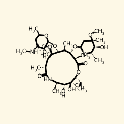 CC[C@H]1OC(=O)[C@H](C)[C@@H](OC2C[C@@](C)(OC)[C@@H](O)[C@H](C)O2)[C@H](C)[C@@H](O[C@@H]2O[C@H](C)C[C@H](NC)[C@H]2O)[C@](C)(OC)C[C@@H](C)C(=O)N[C@H](C)[C@@H](O)[C@]1(C)O